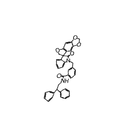 O=C(NCC(c1ccccc1)c1ccccc1)c1cccc(CN2C(=O)C3(COc4cc5c(cc43)OCO5)c3ccccc32)c1